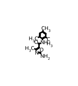 Cc1cc(C)c(NC(=O)c2oc(N)nc2C)c(C)c1